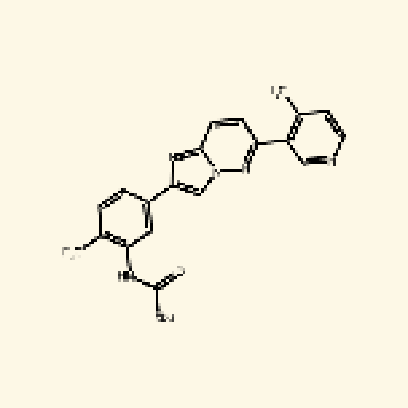 Cc1ccncc1-c1ccc2nc(-c3ccc(C(F)(F)F)c(NC(=O)C(C)(C)C)c3)cn2n1